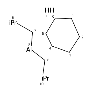 C1CCCCC1.CC(C)[CH2][Al][CH2]C(C)C.[HH]